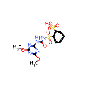 COc1nc(NC(=O)NS(=O)(=O)c2ccccc2S(=O)(=O)O)nc(OC)n1